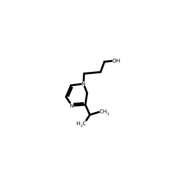 CC(C)C1=NC=CN(CCCO)C1